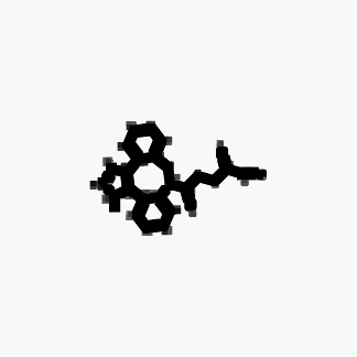 CNC(=O)CCC(=O)N1Cc2ccccc2-c2nn[nH]c2-c2ccccc21